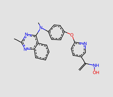 C=C(NO)c1ccc(Oc2ccc(N(C)c3nc(C)nc4ccccc34)cc2)nc1